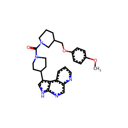 COc1ccc(OCC2CCCN(C(=O)N3CCC(c4c[nH]c5ncc6ncccc6c45)CC3)C2)cc1